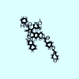 COc1ncc(-c2c(C(=O)Nc3ccccc3)c(C)n(C)c2-c2cc3c(cc2C(=O)N2Cc4ccccc4C[C@H]2C)CN(C(=O)Cc2ccc(OCCN4CCOCC4)cc2)CC3)cc1F